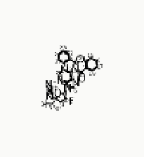 C[C@H]1[C@@H](F)[C@H](n2cnc3c(N(C(=O)c4ccccc4)C(=O)c4ccccc4)ncnc32)O[C@@]1(CI)N=[N+]=[N-]